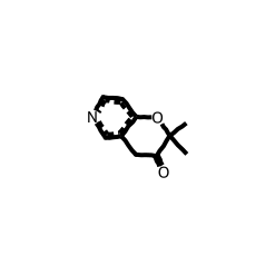 CC1(C)Oc2ccncc2CC1=O